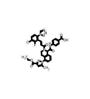 CCOC(=O)c1cc(C)n(-c2cccc3c2CCN(C(=O)C=Cc2c(-n4cnnn4)ccc(Cl)c2F)C3C(=O)Nc2ccc(C(=O)O)cc2)n1